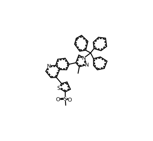 Cc1nn(C(c2ccccc2)(c2ccccc2)c2ccccc2)cc1-c1ccc2nccc(-c3ccc(S(C)(=O)=O)s3)c2c1